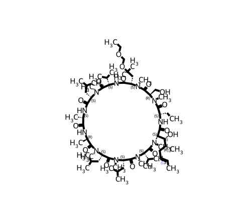 C/C=C/C[C@@H](C)[C@@H](O)[C@H]1C(=O)N[C@@H](CC)C(=O)N(C)[C@H](CO)C(=O)N(C)[C@@H](CC(C)(C)OCOCC)C(=O)N[C@@H](C(C)C)C(=O)N(C)[C@@H](CC(C)C)C(=O)N[C@@H](C)C(=O)N[C@H](C)C(=O)N(C)[C@@H](CC(C)C)C(=O)N(C)[C@@H](CC(C)C)C(=O)N(C)[C@@H](C(C)C)C(=O)N1C